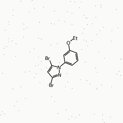 CCOc1cccc(-n2nc(Br)cc2Br)c1